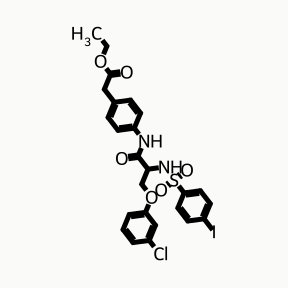 CCOC(=O)Cc1ccc(NC(=O)C(COc2cccc(Cl)c2)NS(=O)(=O)c2ccc(I)cc2)cc1